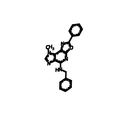 Cn1cnc2c(NCc3ccccc3)nc3oc(-c4ccccc4)nc3c21